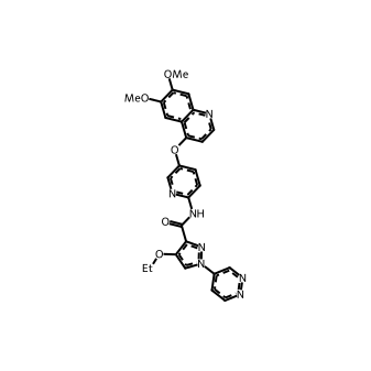 CCOc1cn(-c2ccnnc2)nc1C(=O)Nc1ccc(Oc2ccnc3cc(OC)c(OC)cc23)cn1